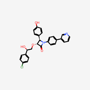 O=C1[C@H](OC[C@H](O)c2ccc(Cl)cc2)[C@@H](c2ccc(O)cc2)N1c1ccc(-c2cccnc2)cc1